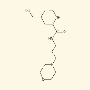 CCC(C)CC1CCNC(C(=O)NCCCN2CCOCC2)C1